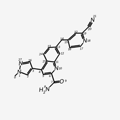 Cn1cc(-c2cc(C(N)=O)nc3cc(Cc4ccnc(C#N)c4)ccc23)cn1